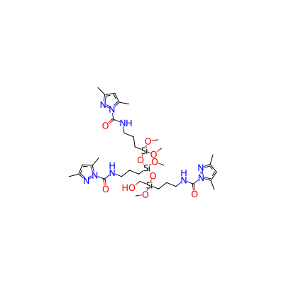 CO[Si](CO)(CCCNC(=O)n1nc(C)cc1C)O[Si](CCCNC(=O)n1nc(C)cc1C)(OC)O[Si](CCCNC(=O)n1nc(C)cc1C)(OC)OC